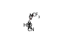 N#Cc1ccc(NC(=O)N2CCC(=Cc3cccc(Oc4ccc(C(F)(F)F)cn4)c3)CC2)cn1